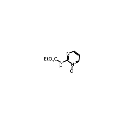 CCOC(=O)Nc1nccc[n+]1[O-]